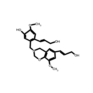 COc1cc(/C=C/CO)c(CN2COc3c(cc(/C=C/CO)cc3OC)C2)cc1O